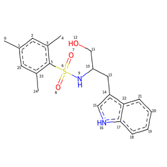 Cc1cc(C)c(S(=O)(=O)NC(CO)Cc2c[nH]c3ccccc23)c(C)c1